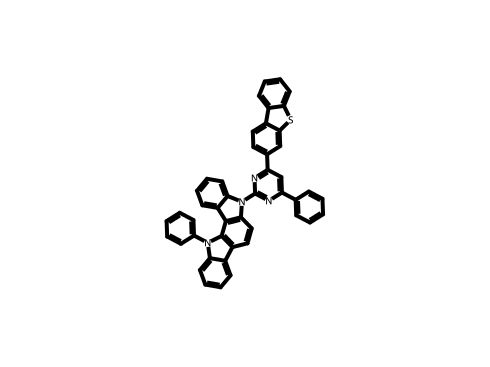 c1ccc(-c2cc(-c3ccc4c(c3)sc3ccccc34)nc(-n3c4ccccc4c4c3ccc3c5ccccc5n(-c5ccccc5)c34)n2)cc1